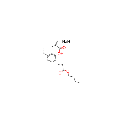 C=C(C)C(=O)O.C=CC(=O)OCCCC.C=Cc1ccccc1.[NaH]